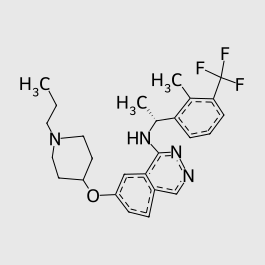 CCCN1CCC(Oc2ccc3cnnc(N[C@H](C)c4cccc(C(F)(F)F)c4C)c3c2)CC1